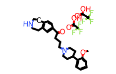 COc1ccccc1C1CCN(CCCC(=O)c2ccc3c(c2)CCNCC3)CC1.O=C(O)C(F)(F)F.O=C(O)C(F)(F)F